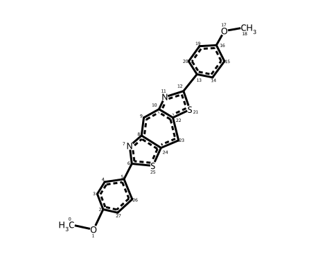 COc1ccc(-c2nc3cc4nc(-c5ccc(OC)cc5)sc4cc3s2)cc1